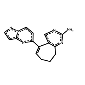 Nc1ncc2c(n1)CCCC=C2c1ccn2nccc2n1